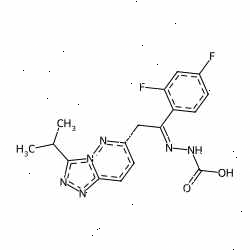 CC(C)c1nnc2ccc(CC(=NNC(=O)O)c3ccc(F)cc3F)nn12